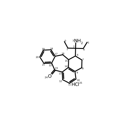 CCC(N)(CC)C1CCc2cccc3c2C1Cc1ccccc1C3=O.Cl